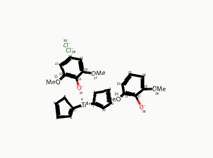 C1=CC[C]([Ti+4][C]2=CC=CC2)=C1.COc1cccc(OC)c1[O-].COc1cccc(OC)c1[O-].[Cl-].[Cl-]